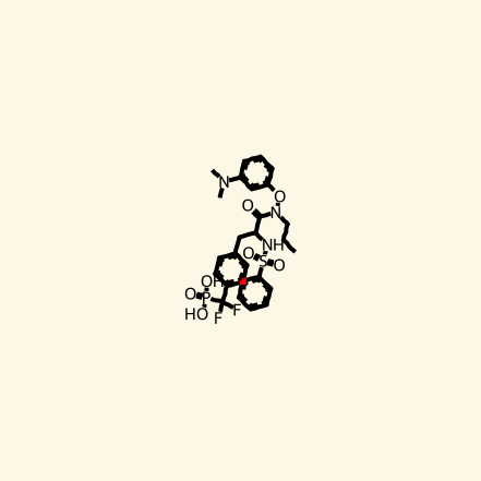 CCCN(Oc1cccc(N(C)C)c1)C(=O)C(Cc1ccc(C(F)(F)P(=O)(O)O)cc1)NS(=O)(=O)c1ccccc1